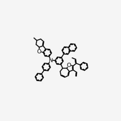 C=CC1=C(/C(=C\C)c2ccccc2)OC2C1=CC=CCC2c1cc(-c2ccc3ccccc3c2)cc(N(c2ccc(-c3ccccc3)cc2)c2ccc3c(c2)OC2CC(C)CC=C32)c1